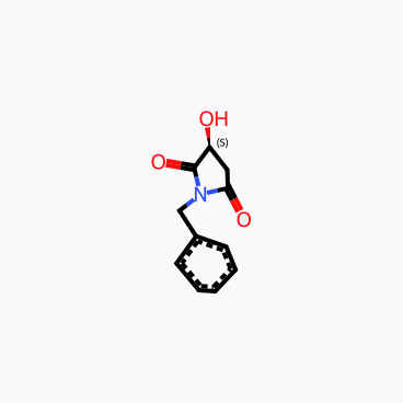 O=C1C[C@H](O)C(=O)N1Cc1ccccc1